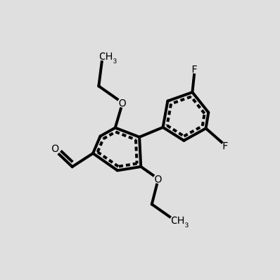 CCOc1cc(C=O)cc(OCC)c1-c1cc(F)cc(F)c1